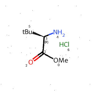 COC(=O)[C@H](N)C(C)(C)C.Cl